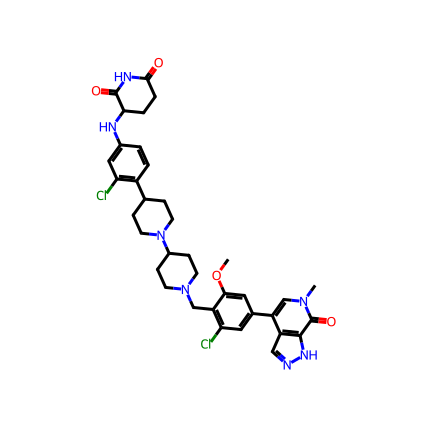 COc1cc(-c2cn(C)c(=O)c3[nH]ncc23)cc(Cl)c1CN1CCC(N2CCC(c3ccc(NC4CCC(=O)NC4=O)cc3Cl)CC2)CC1